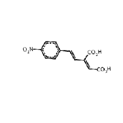 O=C(O)/C=C(/C=C/c1ccc([N+](=O)[O-])cc1)C(=O)O